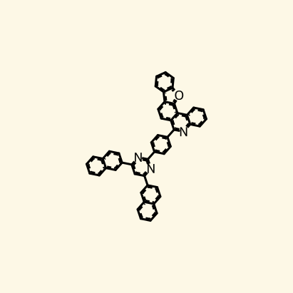 c1ccc2cc(-c3cc(-c4ccc5ccccc5c4)nc(-c4ccc(-c5nc6ccccc6c6c5ccc5c7ccccc7oc56)cc4)n3)ccc2c1